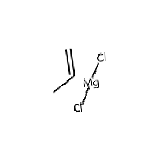 C=CC.[Cl][Mg][Cl]